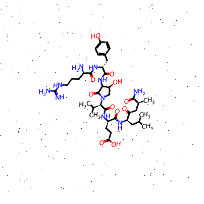 CC(C)C[C@@H](NC(=O)[C@@H](CCC(=O)O)NC(=O)[C@@H](C(C)C)N1CC(O)C(NC(=O)[C@@H](Cc2ccc(O)cc2)NC(=O)[C@H](N)CCCNC(=N)N)C1=O)C(=O)C[C@H](C)C(N)=O